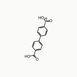 O=C(O)c1ccc(-c2ccc([PH](=O)O)cc2)cc1